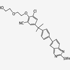 CSc1ncc2cc(-c3ccc(C(C)(C)c4cc(Cl)c(OCCOCCO)c(C#N)c4)cc3)ccc2n1